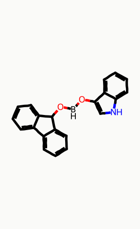 B(Oc1c[nH]c2ccccc12)OC1c2ccccc2-c2ccccc21